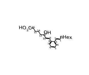 CCCCCC/C=C/c1ccccc1/C=C/[C@@H](O)CCCCC(=O)O